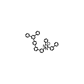 c1ccc(-c2cc(-c3ccccc3)cc(-c3ccc(-c4cccc(-c5cccc(-c6nc(-c7cccc(-c8ccccc8)c7)c7oc8ccccc8c7n6)c5)c4)cc3)c2)cc1